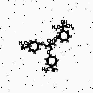 CC(C)C1(C)C=CC=C(OCC(C)(COC2=CC=CC(C)(C(C)C)C=C2)COC2=CC(C(C)(C)O)C=CC=C2)C=C1